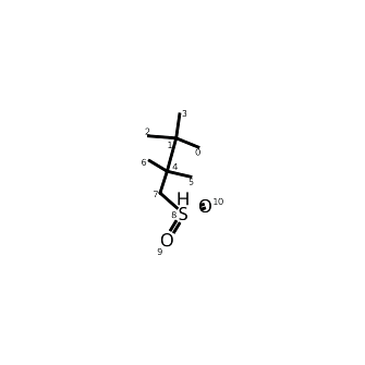 CC(C)(C)C(C)(C)C[SH](=O)=O